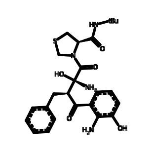 CC(C)(C)NC(=O)[C@@H]1CSCN1C(=O)[C@@](N)(O)[C@H](Cc1ccccc1)C(=O)c1cccc(O)c1N